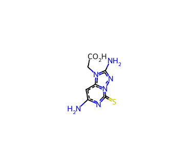 Nc1cc2n(CC(=O)O)c(N)nn2c(=S)n1